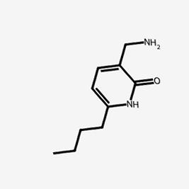 CCCCc1ccc(CN)c(=O)[nH]1